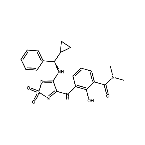 CN(C)C(=O)c1cccc(NC2=NS(=O)(=O)N=C2N[C@@H](c2ccccc2)C2CC2)c1O